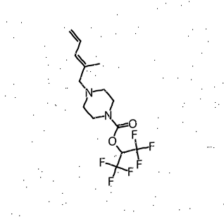 C=C/C=C(\C)CN1CCN(C(=O)OC(C(F)(F)F)C(F)(F)F)CC1